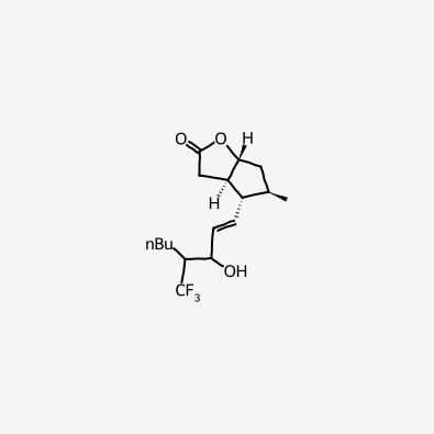 CCCCC(C(O)C=C[C@@H]1[C@H]2CC(=O)O[C@@H]2C[C@H]1C)C(F)(F)F